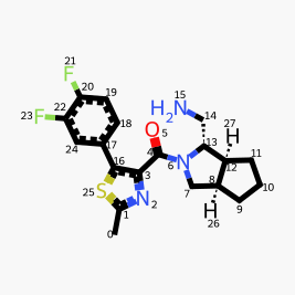 Cc1nc(C(=O)N2C[C@@H]3CCC[C@@H]3[C@H]2CN)c(-c2ccc(F)c(F)c2)s1